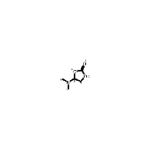 CN(C)C1COC(=O)O1